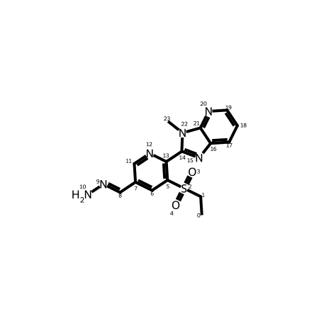 CCS(=O)(=O)c1cc(/C=N/N)cnc1-c1nc2cccnc2n1C